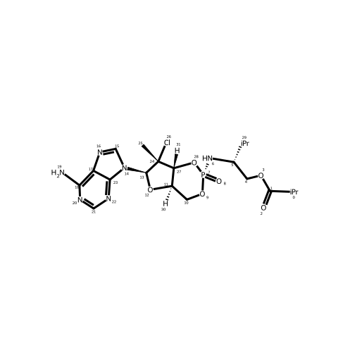 CC(C)C(=O)OC[C@H](N[P@]1(=O)OC[C@H]2O[C@@H](n3cnc4c(N)ncnc43)[C@](C)(Cl)[C@@H]2O1)C(C)C